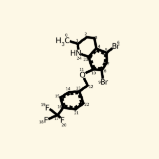 CC1CCc2c(Br)cc(Br)c(OCc3ccc(C(F)(F)F)cc3)c2N1